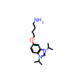 CC(C)n1c[n+](C(C)C)c2cc(OCCCCN)ccc21